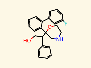 OCC(c1ccccc1)C1(c2ccccc2-c2cccc(F)c2)CNCCO1